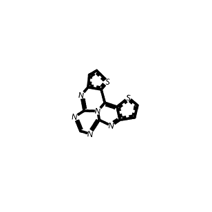 C1=NC2=Nc3ccsc3C3=c4sccc4=NC(=N1)N23